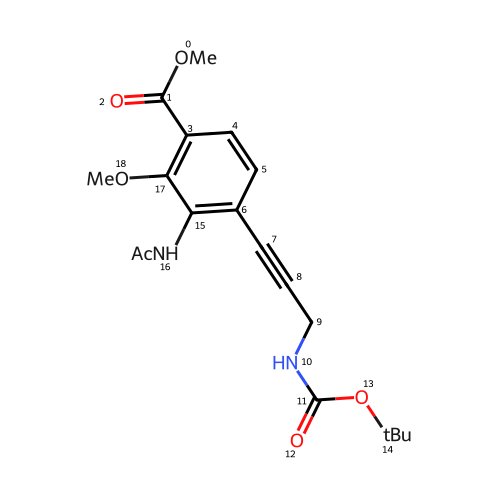 COC(=O)c1ccc(C#CCNC(=O)OC(C)(C)C)c(NC(C)=O)c1OC